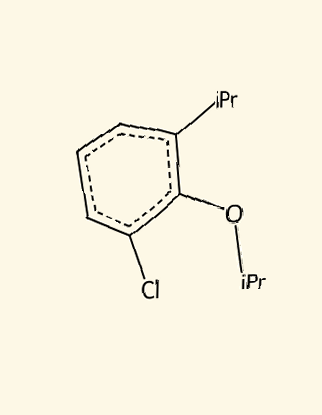 CC(C)Oc1c(Cl)cccc1C(C)C